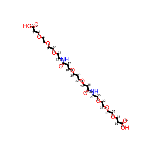 O=C(O)CCOCCOCCOCCNC(=O)CCOCCCOCCC(=O)NCCOCCOCCOCCC(=O)O